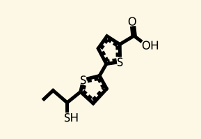 CCC(S)c1ccc(-c2ccc(C(=O)O)s2)s1